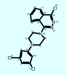 Clc1cc(Cl)cc(N2CCN(c3nnc(Cl)c4ccccc34)CC2)c1